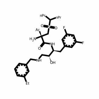 CCCC(CCC)S(=O)(=O)C[C@](N)(C(C)=O)C(=O)N[C@@H](Cc1cc(F)cc(F)c1)[C@H](O)CNCc1cccc(CC)c1